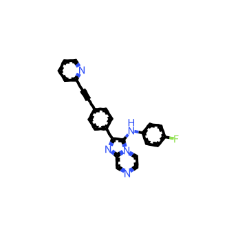 Fc1ccc(Nc2c(-c3ccc(C#Cc4ccccn4)cc3)nc3cnccn23)cc1